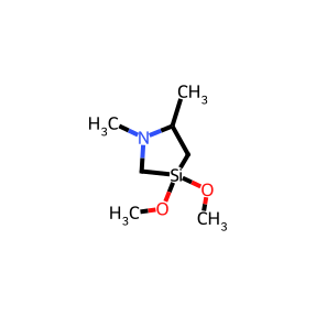 CO[Si]1(OC)CC(C)N(C)C1